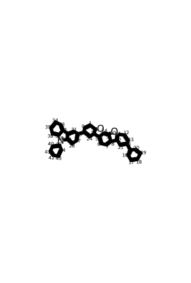 C1=CC2Oc3c(ccc4c3oc3ccc(-c5ccccc5)cc34)C2C=C1c1ccc2c(c1)c1ccccc1n2-c1ccccc1